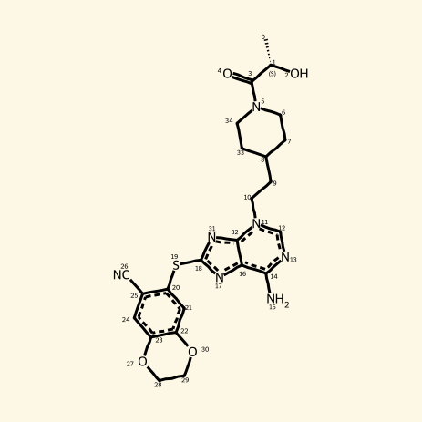 C[C@H](O)C(=O)N1CCC(CCn2cnc(N)c3nc(Sc4cc5c(cc4C#N)OCCO5)nc2-3)CC1